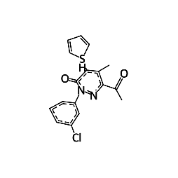 CC(=O)c1nn(-c2cccc(Cl)c2)c(=O)c([SH]2C=CC=C2)c1C